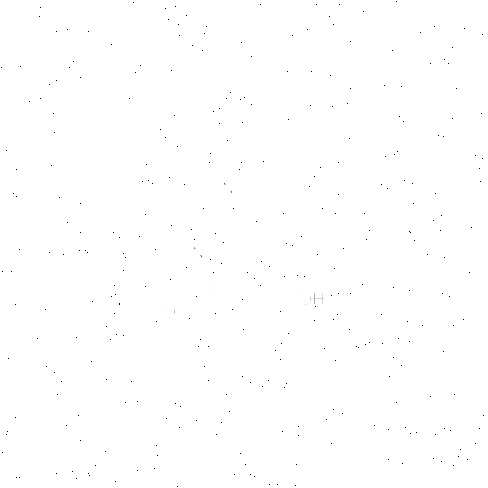 CCn1c(=O)cc(O)c2cccnc21